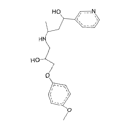 COc1ccc(OCC(O)CNC(C)CC(O)c2cccnc2)cc1